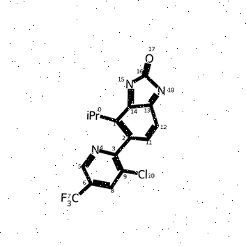 CC(C)c1c(-c2ncc(C(F)(F)F)cc2Cl)ccc2c1=NC(=O)N=2